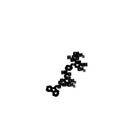 CC(C)[C@H](NC(=O)OCC1c2ccccc2-c2ccccc21)C(=O)NCC(=O)Nc1ccc(C[C@@H](C[C@H](C)C(=O)O)NC(=O)OC(C)(C)C)cc1